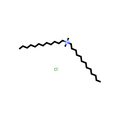 CCCCCCCCCCCCC[N+](C)(C)CCCCCCCCCCCC.[Cl-]